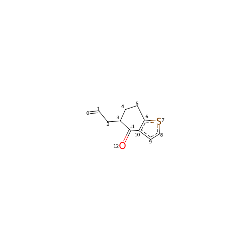 C=CCC1CCc2sccc2C1=O